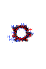 CCCC[C@H]1C(=O)N(C)[C@@H](CCCC)C(=O)N[C@@H](CCCNC(=N)N)C(=O)N[C@H](C(=O)NCC(N)=O)CSCC(=O)N[C@@H](Cc2ccc(C(N)=O)cc2)C(=O)N(C)[C@@H](C)C(=O)NC(CC(N)=O)C(=O)N2CCC[C@H]2C(=O)N[C@@H](Cc2cnc[nH]2)C(=O)N[C@@H](CC(C)C)C(=O)N2C[C@H](O)CC2CN[C@@H](CCc2c[nH]c3ccccc23)C(=O)N[C@@H](CO)C(=O)N[C@@H](Cc2c[nH]c3ccccc23)C(=O)N1C